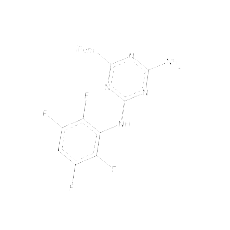 CCCC(C)c1nc(N)nc(Nc2c(F)c(F)cc(F)c2F)n1